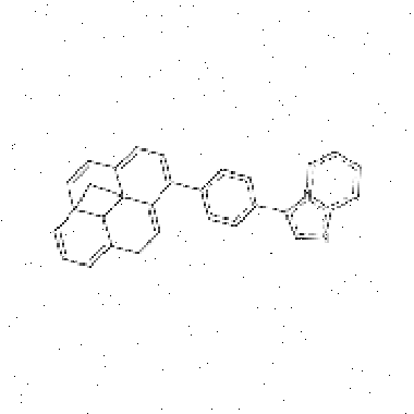 C1=CC23C=CC4=CC=C(c5ccc(-c6cnc7ccccn67)cc5)C5=CCC(=C1)C2C45C3